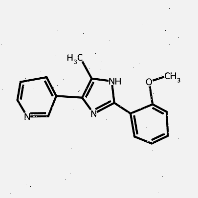 COc1ccccc1-c1nc(-c2cccnc2)c(C)[nH]1